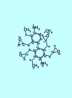 C.CCc1c(N)ccc(-c2c(CC3CO3)c(CC)c(N)c(CC3CO3)c2CC2CO2)c1CC1CO1